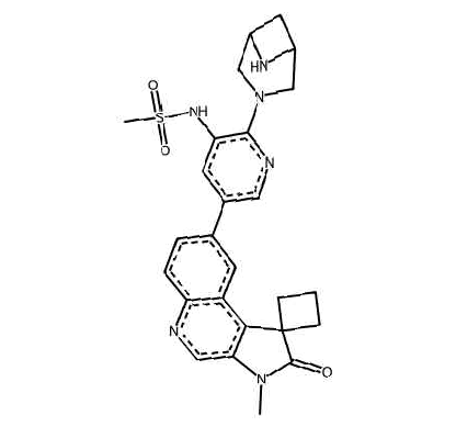 CN1C(=O)C2(CCC2)c2c1cnc1ccc(-c3cnc(N4CC5CC(C4)N5)c(NS(C)(=O)=O)c3)cc21